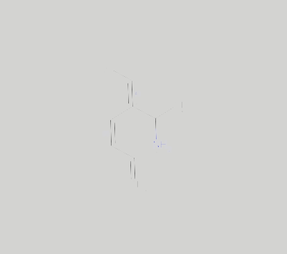 C=C/C=C\C(=C/C)C(C)N